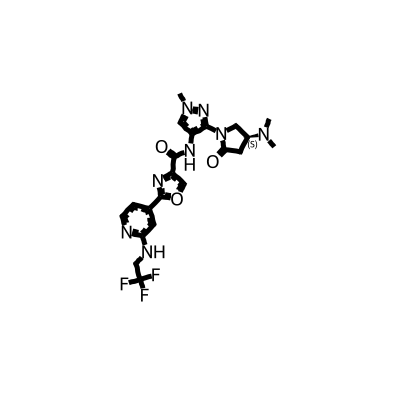 CN(C)[C@H]1CC(=O)N(c2nn(C)cc2NC(=O)c2coc(-c3ccnc(NCC(F)(F)F)c3)n2)C1